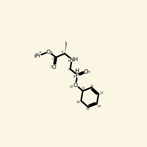 CC(C)OC(=O)[C@H](C)NC[PH](=O)OC1C=CC=CC1